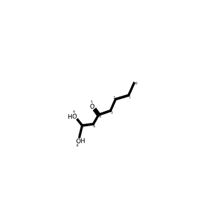 CCCCC(=O)CC(O)O